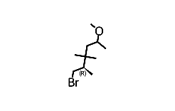 COC(C)CC(C)(C)[C@@H](C)CBr